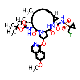 CC[C@@H]1C[C@H](C)CC/C=C\[C@@H]2C[C@@]2(C(=O)NS(=O)(=O)C2(CF)CC2)NC(=O)C2C[C@@H](Oc3nccc4cc(OC)ccc34)CN2C(=O)[C@H]1NC(=O)OC(C)(C)C